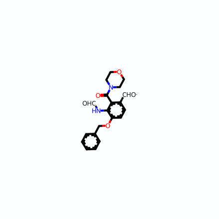 O=[C]c1ccc(OCc2ccccc2)c(NC=O)c1C(=O)N1CCOCC1